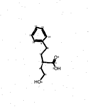 O=C(O)[C@@H](CCO)CCc1ccccc1